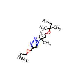 CNCCOCc1cn(C(C)(C)CCOC(C)(C)CC(C)=O)nn1